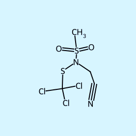 CS(=O)(=O)N(CC#N)SC(Cl)(Cl)Cl